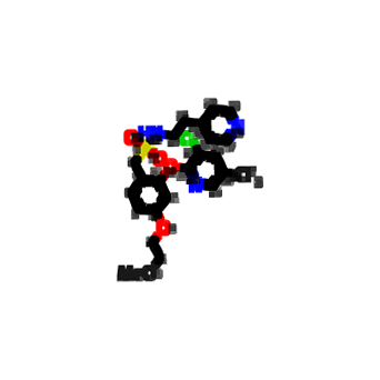 COCCOc1ccc(CS(=O)(=O)NCCc2ccncc2)c(Oc2ncc(C(F)(F)F)cc2Cl)c1